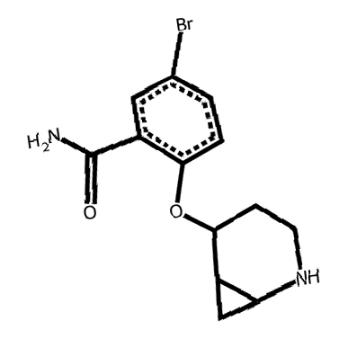 NC(=O)c1cc(Br)ccc1OC1CCNC2CC21